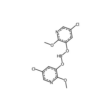 COc1ncc(Cl)cc1OBOc1cc(Cl)cnc1OC